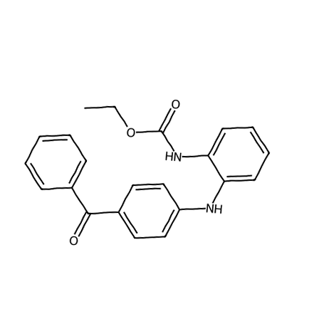 CCOC(=O)Nc1ccccc1Nc1ccc(C(=O)c2ccccc2)cc1